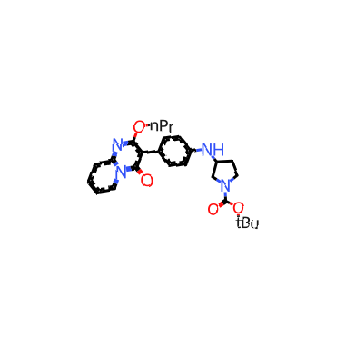 CCCOc1nc2ccccn2c(=O)c1-c1ccc(NC2CCN(C(=O)OC(C)(C)C)C2)cc1